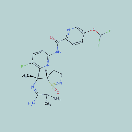 CC1(C)C(N)=N[C@](C)(c2nc(NC(=O)c3ccc(OC(F)F)cn3)ccc2F)[C@@H]2CCN=[S@]21=O